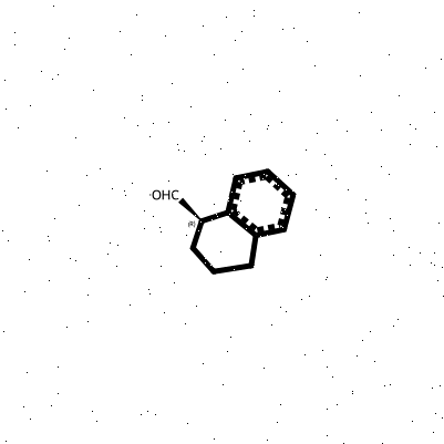 O=[C][C@@H]1CCCc2ccccc21